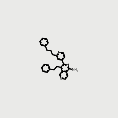 Nc1nc(-c2ccnc(CCCc3ccccc3)c2)c(CCc2ccccc2)c2cnccc12